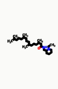 CCN1CCCCC1CNC(=O)CC(C)CCCC(C)CCCC(C)CCCC(C)C